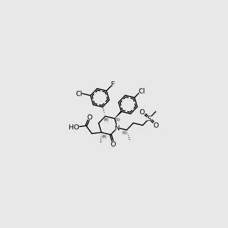 C[C@@H](CCS(C)(=O)=O)N1C(=O)[C@@](C)(CC(=O)O)C[C@H](c2cc(F)cc(Cl)c2)[C@H]1c1ccc(Cl)cc1